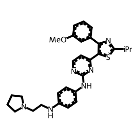 COc1cccc(-c2nc(C(C)C)sc2-c2ccnc(Nc3ccc(NCCN4CCCC4)cc3)n2)c1